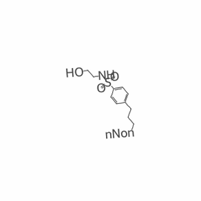 CCCCCCCCCCCCc1ccc(S(=O)(=O)NCCO)cc1